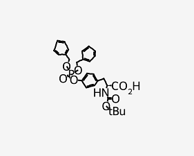 CC(C)(C)OC(=O)N[C@@H](Cc1ccc(OP(=O)(OCc2ccccc2)OCc2ccccc2)cc1)C(=O)O